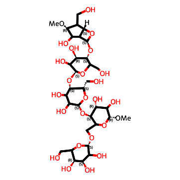 CO[C@@H]1OC(CO[C@H]2OC(CO)[C@H](O)[C@H](O)C2O)[C@@H](O[C@@H]2O[C@@H](CO)[C@@H](O[C@@H]3OC(CO)[C@@H](O[C@@H]4O[C@@H]5C4C(O)[C@H](OC)C5CO)[C@H](O)C3O)C(O)C2O)[C@H](O)C1O